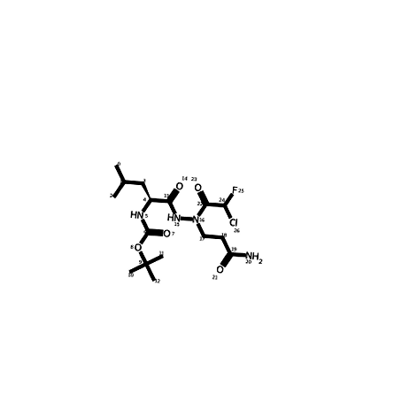 CC(C)C[C@H](NC(=O)OC(C)(C)C)C(=O)NN(CCC(N)=O)C(=O)C(F)Cl